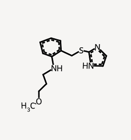 COCCCNc1ccccc1CSc1ncc[nH]1